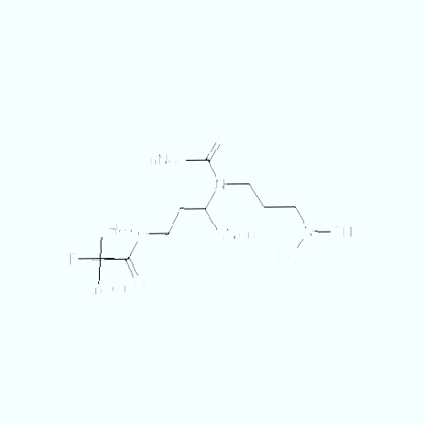 CCCCCCCCCC(=O)N(CCCN(C)C)C(CCCCCCCCC)CCOC(=O)C(F)(CCCCCC)CCCCCCCC